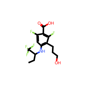 CCC(Nc1cc(F)c(C(=O)O)c(F)c1CCCO)C(F)(F)F